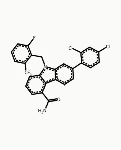 NC(=O)c1cccc2c1c1[c]cc(-c3ccc(Cl)cc3Cl)cc1n2Cc1c(F)cccc1C(F)(F)F